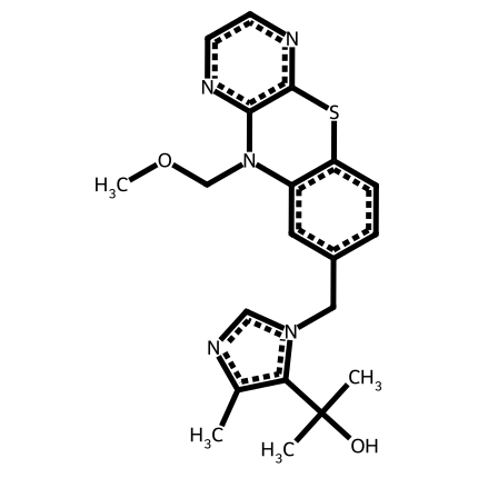 COCN1c2cc(Cn3cnc(C)c3C(C)(C)O)ccc2Sc2nccnc21